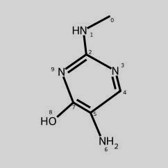 CNc1ncc(N)c(O)n1